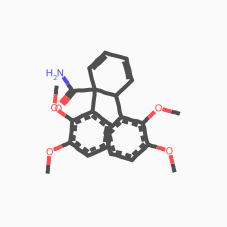 COc1cccc(C2C=CC=CC2(C(N)=O)c2cccc(OC)c2OC)c1OC